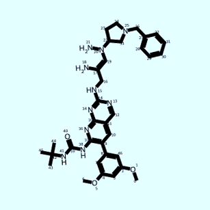 COc1cc(OC)cc(-c2cc3cnc(NC/C(N)=C/N(N)C4CCN(Cc5ccccc5)C4)nc3nc2NC(=O)NC(C)(C)C)c1